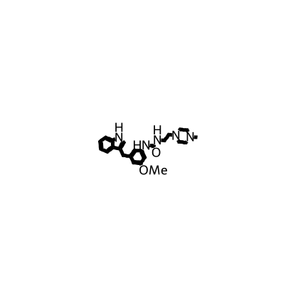 COc1cc(Cc2c[nH]c3ccccc23)cc(NC(=O)NCCN2CCN(C)CC2)c1